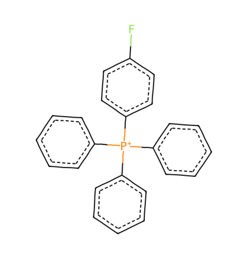 Fc1ccc([P+](c2ccccc2)(c2ccccc2)c2ccccc2)cc1